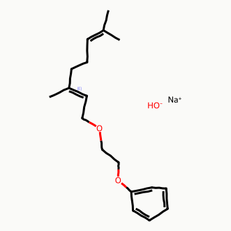 CC(C)=CCC/C(C)=C/COCCOc1ccccc1.[Na+].[OH-]